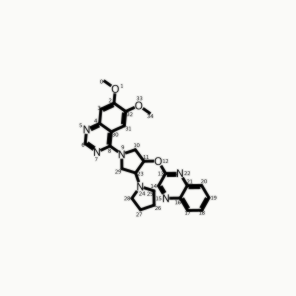 COc1cc2ncnc(N3CC(Oc4cnc5ccccc5n4)C(N4CCCC4)C3)c2cc1OC